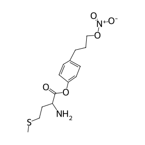 CSCCC(N)C(=O)Oc1ccc(CCCO[N+](=O)[O-])cc1